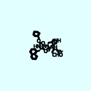 CC(C)C[C@@H](CC=O)NC(=O)[C@H](Cc1c[nH]cn1)NC(=O)[C@H](Cc1cccc2ccccc12)NC(=O)OCc1ccccc1